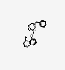 c1ccc(CN2CCO[C@H](COc3cccc4c3NCCC4)C2)cc1